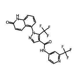 O=C(Nc1ccnc(C(F)(F)F)c1)c1cnn(-c2cccc3[nH]c(=O)ccc23)c1C(F)(F)F